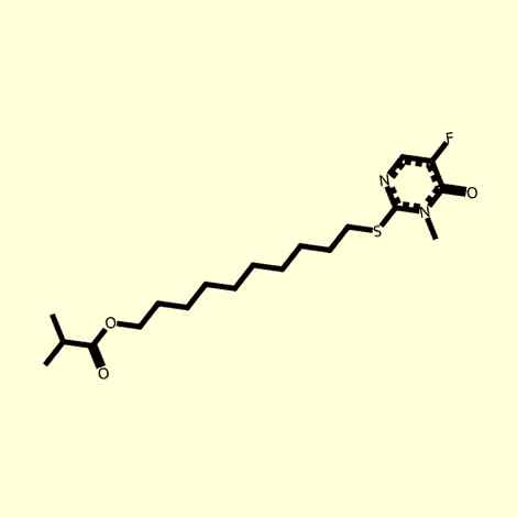 CC(C)C(=O)OCCCCCCCCCCSc1ncc(F)c(=O)n1C